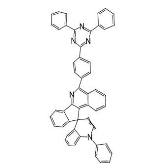 c1ccc(-c2nc(-c3ccccc3)nc(-c3ccc(-c4nc5c(c6ccccc46)C4(c6ccccc6-5)c5ccccc5N(c5ccccc5)c5ccccc54)cc3)n2)cc1